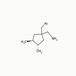 CC(=O)CC1(CN)C[C@H](C)[C@@H](C)C1